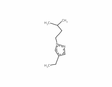 CCc1[c]nn(CCC(C)C)c1